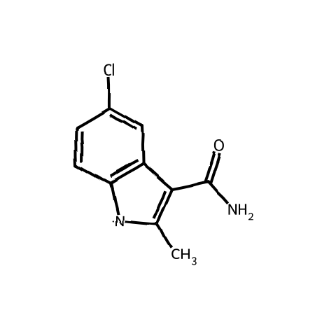 CC1=C(C(N)=O)c2cc(Cl)ccc2[N]1